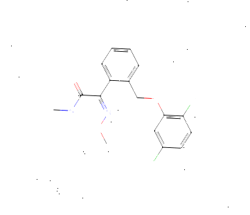 CNC(=O)C(=NOC)c1ccccc1COc1cc(Cl)ccc1Cl